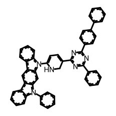 C1=C(c2nc(-c3ccccc3)nc(-c3ccc(-c4ccccc4)cc3)n2)CNC(n2c3ccccc3c3cc4c5ccccc5n(-c5ccccc5)c4cc32)=C1